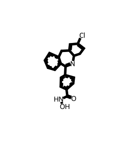 O=C(NO)c1ccc(C2=NC3CC=C(Cl)C=C3Cc3ccccc32)cc1